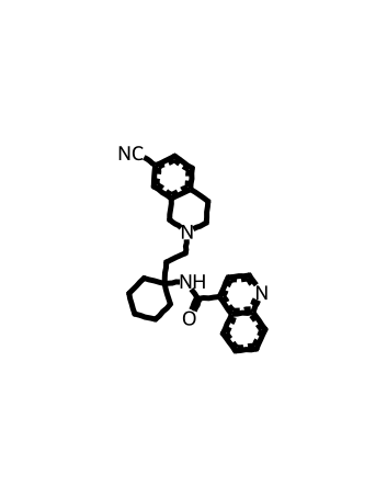 N#Cc1ccc2c(c1)CN(CCC1(NC(=O)c3ccnc4ccccc34)CCCCC1)CC2